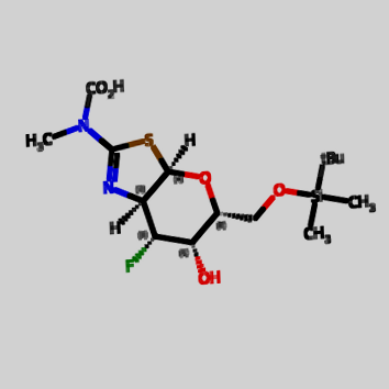 CN(C(=O)O)C1=N[C@@H]2[C@@H](F)[C@@H](O)[C@@H](CO[Si](C)(C)C(C)(C)C)O[C@@H]2S1